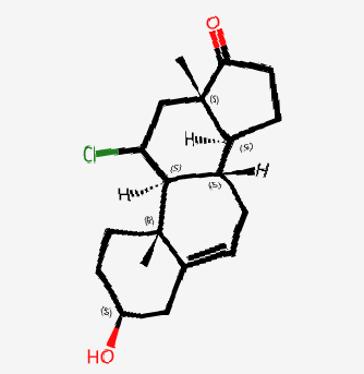 C[C@]12CC[C@H](O)CC1=CC[C@@H]1[C@@H]2C(Cl)C[C@]2(C)C(=O)CC[C@@H]12